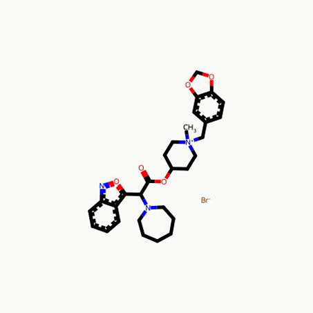 C[N+]1(Cc2ccc3c(c2)OCO3)CCC(OC(=O)C(c2onc3ccccc23)N2CCCCCC2)CC1.[Br-]